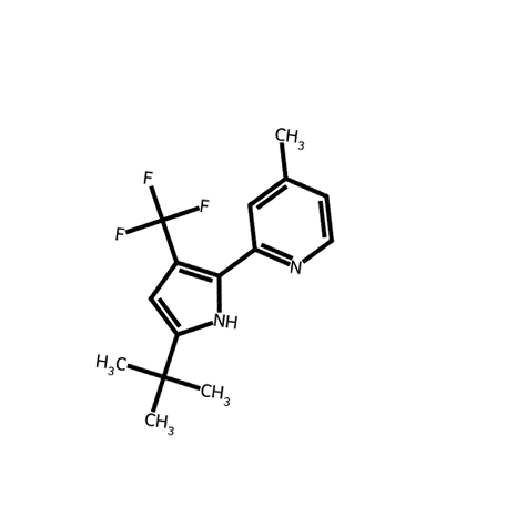 Cc1ccnc(-c2[nH]c(C(C)(C)C)cc2C(F)(F)F)c1